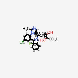 Cc1ncc2n1-c1ccc(Cl)cc1C(C1(F)C=CC=CC1)=NC2C.O=C(O)C(O)C(O)C(=O)O